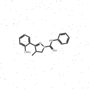 COc1ccccc1C1=NN(C(=N)Nc2ccccc2)CC1C